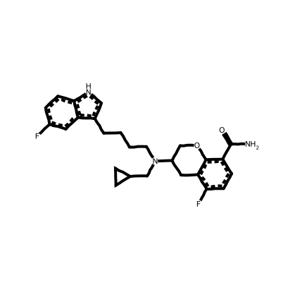 NC(=O)c1ccc(F)c2c1OCC(N(CCCCc1c[nH]c3ccc(F)cc13)CC1CC1)C2